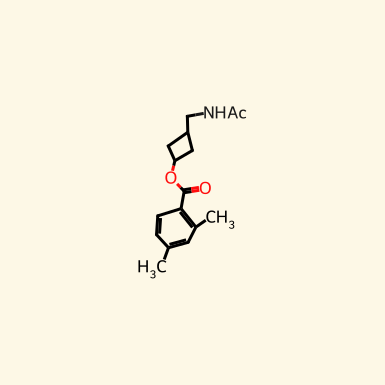 CC(=O)NCC1CC(OC(=O)c2ccc(C)cc2C)C1